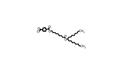 CCCCCCCCC(CCCCCCCC)OC(=O)CCCCCCCCOC(=O)c1ccc(C(=O)Cl)cc1